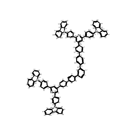 c1cc(-c2ccc(-c3ccc(-c4cc(-c5ccc(-n6c7ccccc7c7ccccc76)cc5)nc(-c5ccc(-n6c7ccccc7c7ccccc76)cc5)c4)cc3)cc2)cc(-c2ccc(-c3ccc(-c4cc(-c5ccc(-n6c7ccccc7c7ccccc76)cc5)nc(-c5ccc(-n6c7ccccc7c7ccccc76)cc5)c4)cc3)cc2)c1